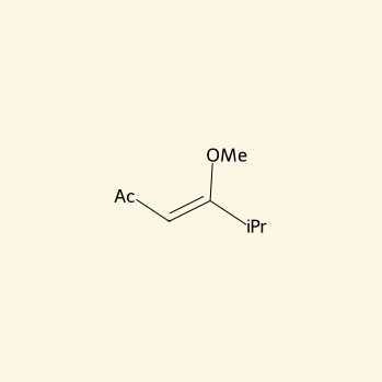 CO/C(=C\C(C)=O)C(C)C